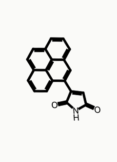 O=C1C=C(c2cc3cccc4ccc5cccc2c5c43)C(=O)N1